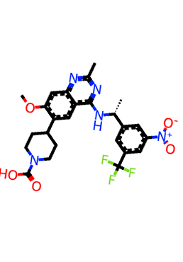 COc1cc2nc(C)nc(N[C@H](C)c3cc([N+](=O)[O-])cc(C(F)(F)F)c3)c2cc1C1CCN(C(=O)O)CC1